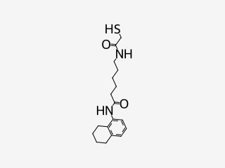 O=C(CS)NCCCCCC(=O)Nc1cccc2c1CCCC2